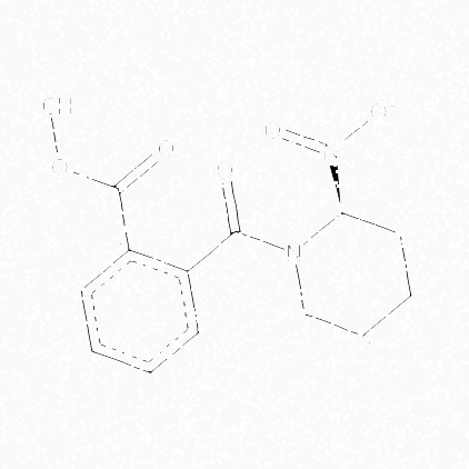 COC(=O)c1ccccc1C(=O)N1CCCC[C@@H]1[N+](=O)[O-]